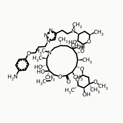 CC[C@H]1OC(=O)[C@H](C)[C@@H](O[C@H]2C[C@@](C)(OC)[C@@H](O)[C@H](C)O2)[C@H](C)[C@@H](O[C@@H]2O[C@H](C)C[C@H](N(C)CCc3cn(CCCOc4ccc(N)cc4)nn3)[C@H]2O)[C@](C)(O)C[C@@H](C)CN(C)[C@H](C)[C@@H](O)[C@]1(C)O